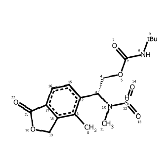 Cc1c([C@H](COC(=O)NC(C)(C)C)N(C)[SH](=O)=O)ccc2c1COC2=O